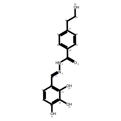 O=C(N/N=C/c1ccc(O)c(O)c1O)c1ccc(CCO)cc1